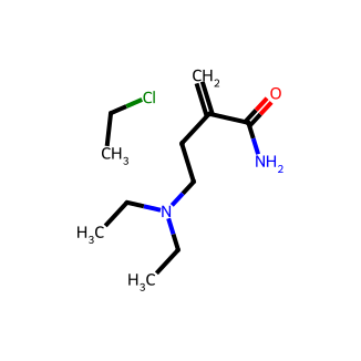 C=C(CCN(CC)CC)C(N)=O.CCCl